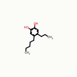 CCCCCc1cc(O)c(O)cc1CCC